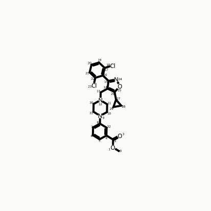 COC(=O)c1cccc(N2CCN(Cc3c(-c4c(Cl)cccc4Cl)noc3C3CC3)CC2)c1